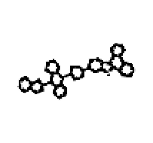 c1ccc2cc(-c3c4ccccc4c(-c4ccc(-c5ccc6c(c5)sc5c7ccccc7c7ccccc7c65)cc4)c4ccccc34)ccc2c1